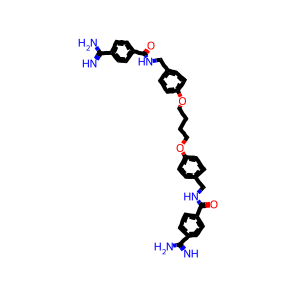 N=C(N)c1ccc(C(=O)NCc2ccc(OCCCCOc3ccc(CNC(=O)c4ccc(C(=N)N)cc4)cc3)cc2)cc1